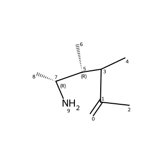 C=C(C)C(C)[C@@H](C)[C@@H](C)N